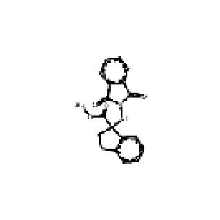 CC(C)(C)OC(=O)C1(NN2C(=O)c3ccccc3C2=O)CCc2ccccc21